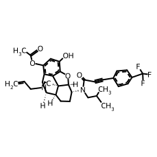 C=CCN1CC[C@]23c4c5c(OC(C)=O)cc(O)c4O[C@H]2[C@H](N(CC(C)C)C(=O)C#Cc2ccc(C(F)(F)F)cc2)CC[C@H]3[C@H]1C5